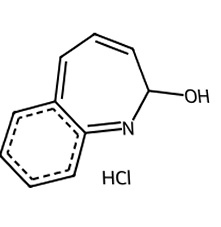 Cl.OC1C=CC=c2ccccc2=N1